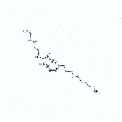 CCCCCCCCCCc1ccc2oc(NCCCCCN)nc2c1